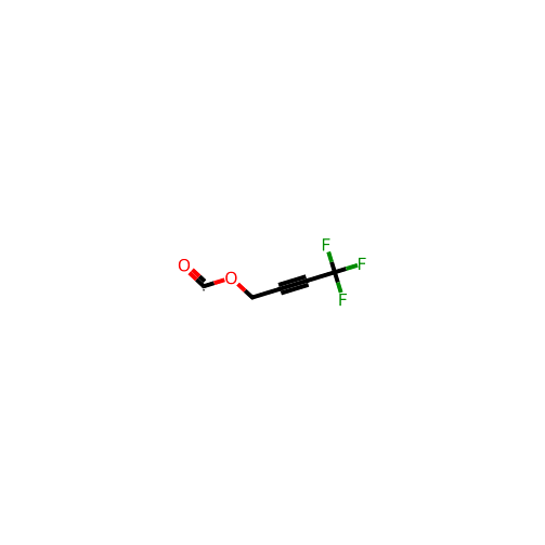 O=[C]OCC#CC(F)(F)F